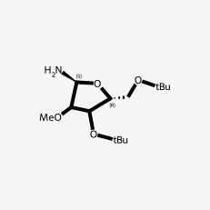 COC1C(OC(C)(C)C)[C@@H](COC(C)(C)C)O[C@@H]1N